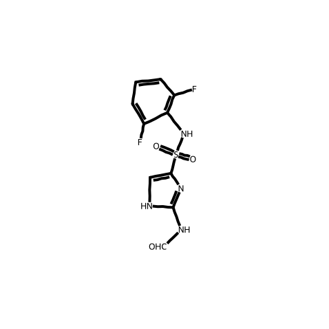 O=CNc1nc(S(=O)(=O)Nc2c(F)cccc2F)c[nH]1